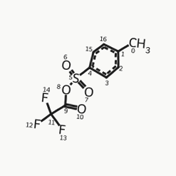 Cc1ccc(S(=O)(=O)OC(=O)C(F)(F)F)cc1